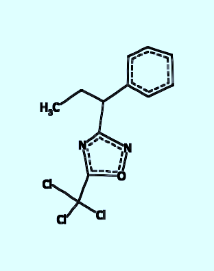 CCC(c1ccccc1)c1noc(C(Cl)(Cl)Cl)n1